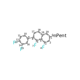 CCCCCc1cc(F)c2c(F)c(-c3ccc(F)c(F)c3)ccc2c1